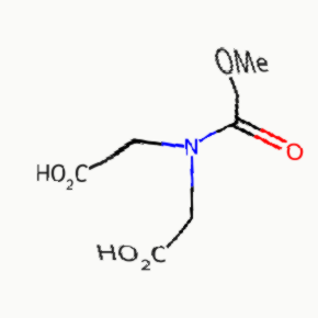 COC(=O)N(CC(=O)O)CC(=O)O